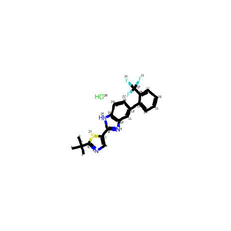 CC(C)(C)c1ncc(-c2nc3cc(-c4ccccc4C(F)(F)F)ccc3[nH]2)s1.Cl